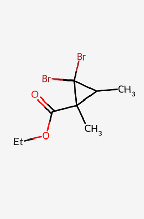 CCOC(=O)C1(C)C(C)C1(Br)Br